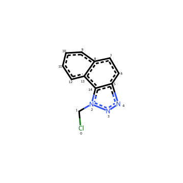 ClCn1nnc2ccc3ccccc3c21